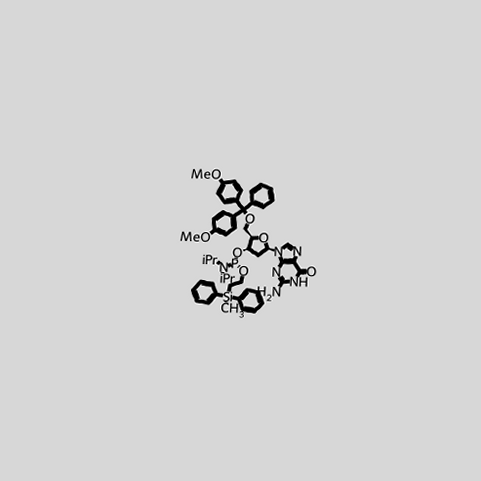 COc1ccc(C(OC[C@H]2O[C@@H](n3cnc4c(=O)[nH]c(N)nc43)C[C@@H]2OP(OCC[Si](C)(c2ccccc2)c2ccccc2)N(C(C)C)C(C)C)(c2ccccc2)c2ccc(OC)cc2)cc1